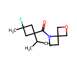 CC(C)C1(C(=O)N2CCC23COC3)CC(C)(F)C1